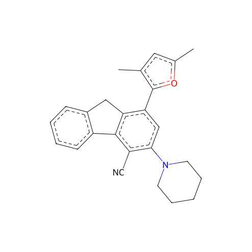 Cc1cc(C)c(-c2cc(N3CCCCC3)c(C#N)c3c2Cc2ccccc2-3)o1